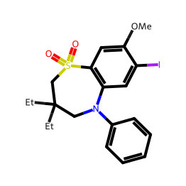 CCC1(CC)CN(c2ccccc2)c2cc(I)c(OC)cc2S(=O)(=O)C1